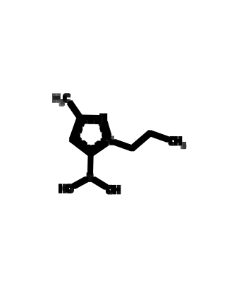 CCCn1nc(C)cc1B(O)O